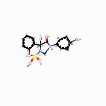 O=C1[C@H]2c3ccccc3OS(=O)(=O)N2CN1c1ccc(Cl)cc1